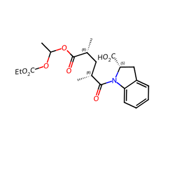 CCOC(=O)OC(C)OC(=O)[C@H](C)C[C@@H](C)C(=O)N1c2ccccc2C[C@H]1C(=O)O